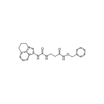 O=C(CCNC(=O)Nc1cn2c3c(cccc13)CCC2)NOCc1ccccc1